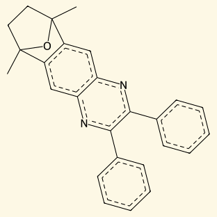 CC12CCC(C)(O1)c1cc3nc(-c4ccccc4)c(-c4ccccc4)nc3cc12